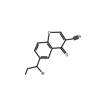 CCC(Br)c1ccc2occ(C#N)c(=O)c2c1